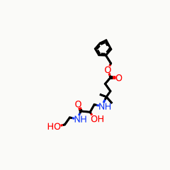 CC(C)(CCC(=O)OCc1ccccc1)NCC(O)C(=O)NCCO